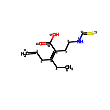 C=CCC(CC)=C(CCNC=S)C(=O)O